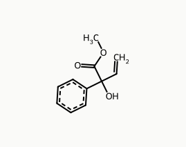 C=CC(O)(C(=O)OC)c1ccccc1